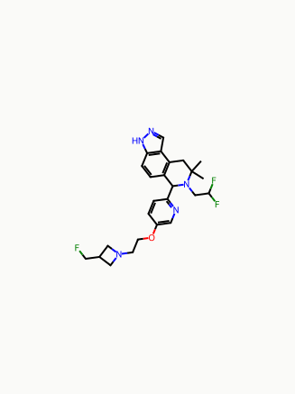 CC1(C)Cc2c(ccc3[nH]ncc23)C(c2ccc(OCCN3CC(CF)C3)cn2)N1CC(F)F